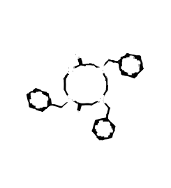 O=C1CN(Cc2ccccc2)CCN(Cc2ccccc2)CC(=O)N(Cc2ccccc2)CCN1